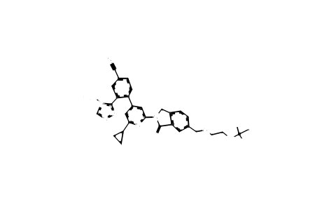 Cn1cnnc1-c1cc(C#N)ccc1-c1cc(C2CC2)nc(N2Cc3ccc(CNCCOC(F)(F)F)cc3C2=O)c1